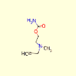 C#CCN(C)CCOC(N)=O